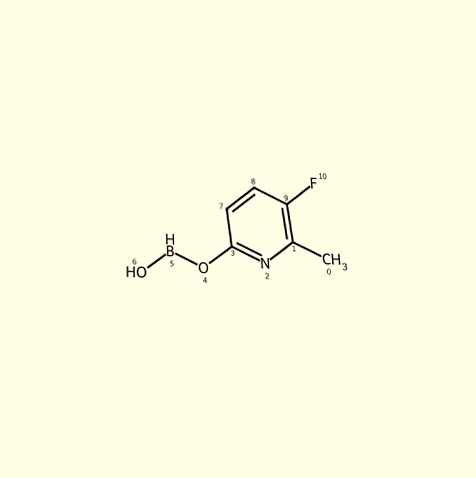 Cc1nc(OBO)ccc1F